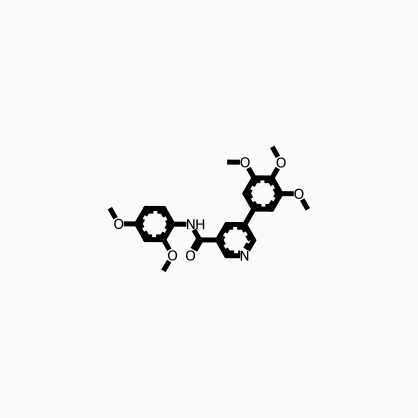 COc1ccc(NC(=O)c2cncc(-c3cc(OC)c(OC)c(OC)c3)c2)c(OC)c1